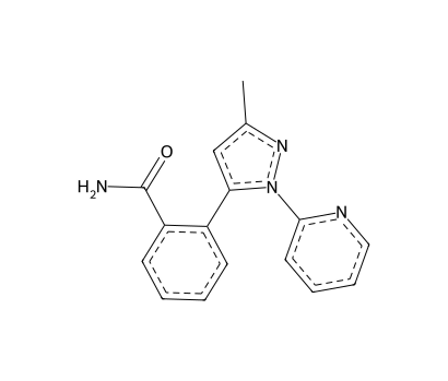 Cc1cc(-c2ccccc2C(N)=O)n(-c2ccccn2)n1